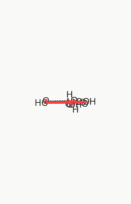 O=C(O)CCCCCCCCCCCCCCCCCCC(=O)N[C@@H](CCC(=O)NCCOCCOCC(=O)O)C(=O)O